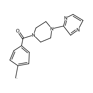 [CH2]c1ccc(C(=O)N2CCN(c3cnccn3)CC2)cc1